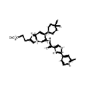 CCOC(=O)CCc1cn2cc(NC(=O)c3coc(-c4ccnc(C)c4)n3)c(N3CCC(C)(C)CC3)cc2n1